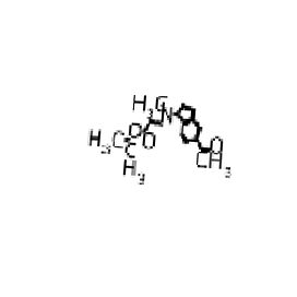 CC(=O)c1ccc2c(c1)CCC2N(C)CCC(=O)OC(C)C